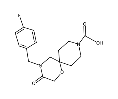 O=C(O)N1CCC2(CC1)CN(Cc1ccc(F)cc1)C(=O)CO2